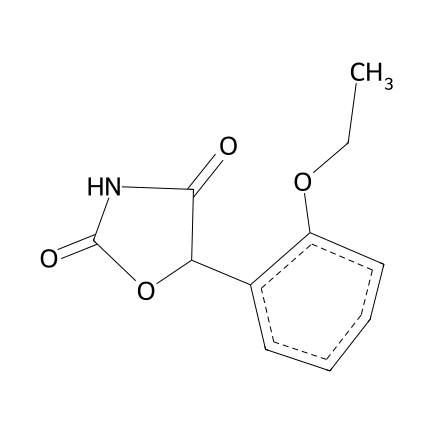 CCOc1ccccc1C1OC(=O)NC1=O